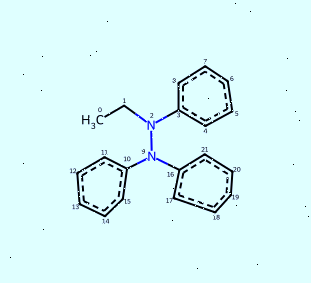 CCN(c1ccccc1)N(c1ccccc1)c1ccccc1